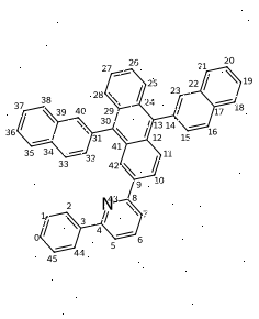 c1ccc(-c2cccc(-c3ccc4c(-c5ccc6ccccc6c5)c5ccccc5c(-c5ccc6ccccc6c5)c4c3)n2)cc1